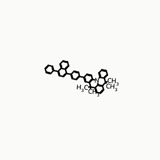 CC1(C)c2ccccc2N2c3ccc(-c4ccc(-c5ccc(-c6ccccc6)c6ccccc56)cc4)cc3C(C)(C)c3cccc1c32